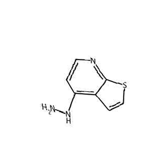 NNc1ccnc2sccc12